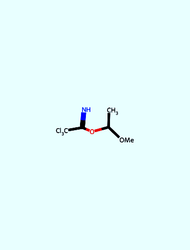 COC(C)OC(=N)C(Cl)(Cl)Cl